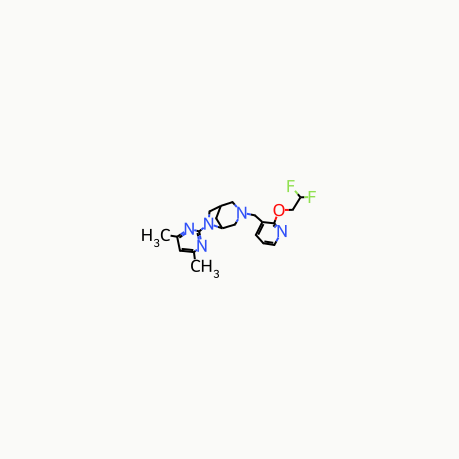 Cc1cc(C)nc(N2CC3CC2CN(Cc2cccnc2OCC(F)F)C3)n1